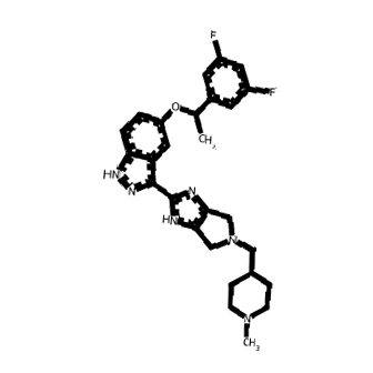 CC(Oc1ccc2[nH]nc(-c3nc4c([nH]3)CN(CC3CCN(C)CC3)C4)c2c1)c1cc(F)cc(F)c1